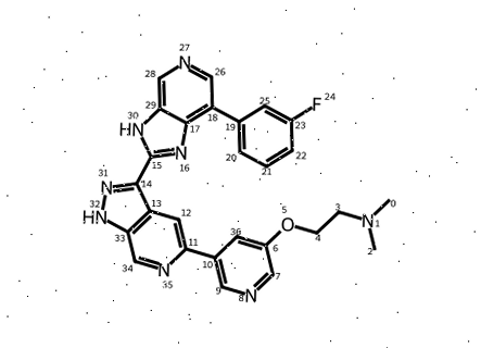 CN(C)CCOc1cncc(-c2cc3c(-c4nc5c(-c6cccc(F)c6)cncc5[nH]4)n[nH]c3cn2)c1